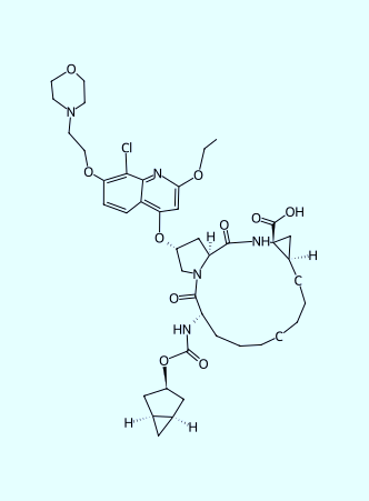 CCOc1cc(O[C@@H]2C[C@H]3C(=O)N[C@]4(C(=O)O)C[C@H]4CCCCCCC[C@H](NC(=O)O[C@@H]4C[C@@H]5C[C@@H]5C4)C(=O)N3C2)c2ccc(OCCN3CCOCC3)c(Cl)c2n1